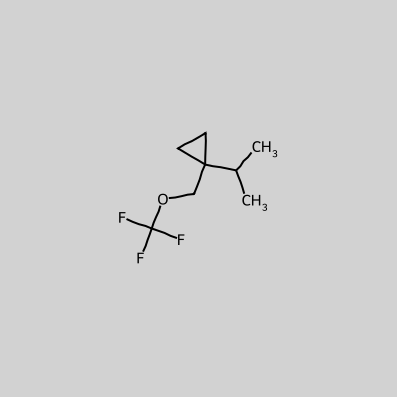 CC(C)C1(COC(F)(F)F)CC1